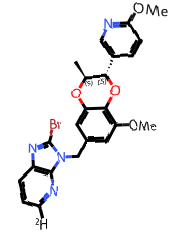 [2H]c1ccc2nc(Br)n(Cc3cc(OC)c4c(c3)O[C@@H](C)[C@H](c3ccc(OC)nc3)O4)c2n1